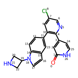 O=c1cc(-c2ncc(Cl)cc2-c2ccc3c(ccn3C3CNC3)c2)cc[nH]1